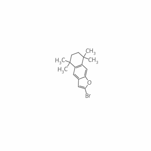 CC1(C)CCC(C)(C)c2cc3oc(Br)cc3cc21